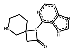 O=C1CC2(CCCNC2)N1c1ncnc2nc[nH]c12